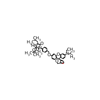 CCN(CC)c1ccc2c(c1)Oc1cc(OCc3ccc(NC(=O)[C@H](CC(C)C)NC(=O)OC(C)(C)C)cc3)ccc1C21OCc2ccccc21